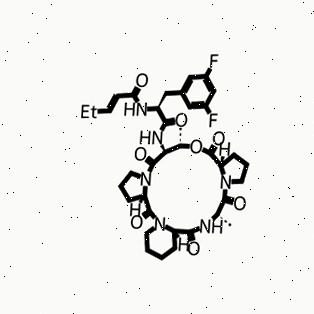 CC/C=C/C(=O)N[C@@H](Cc1cc(F)cc(F)c1)C(=O)N[C@@H]1C(=O)N2CCC[C@H]2C(=O)N2CCCC[C@H]2C(=O)N[C@@H](C)C(=O)N2CCC[C@H]2C(=O)O[C@H]1C